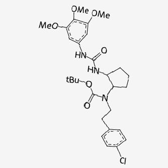 COc1cc(NC(=O)NC2CCCC2N(CCc2ccc(Cl)cc2)C(=O)OC(C)(C)C)cc(OC)c1OC